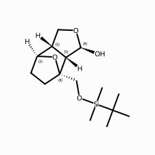 CC(C)(C)[Si](C)(C)OC[C@]12CC[C@H](O1)[C@@H]1CO[C@@H](O)[C@@H]12